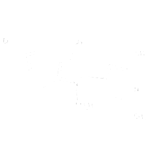 Cc1cc(-c2c(C(C)C)c3cc(Br)ccc3n2C(=O)O)cc(C)n1